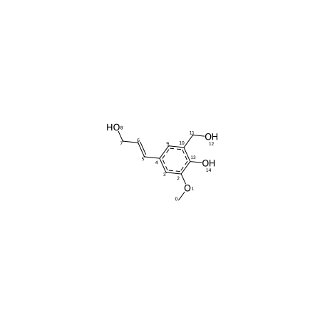 COc1cc(C=CCO)cc(CO)c1O